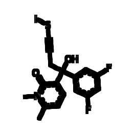 Cc1ccc(C(O)(CC#CSI)c2cc(F)cc(F)c2)c(=O)n1C